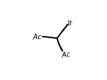 CC(=O)[CH]([Ir])C(C)=O